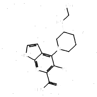 CC(C)(C)CN[C@@H]1CCCN(c2c(Br)c(C(N)=O)nc3[nH]c[c]c23)C1